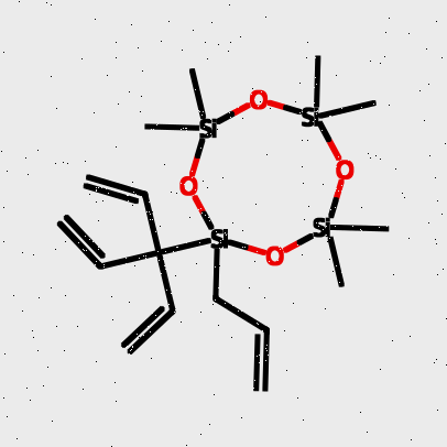 C=CC[Si]1(C(C=C)(C=C)C=C)O[Si](C)(C)O[Si](C)(C)O[Si](C)(C)O1